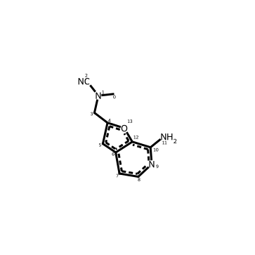 CN(C#N)Cc1cc2ccnc(N)c2o1